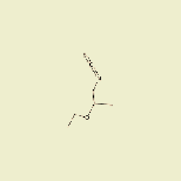 CCOC(C)CN=C=S